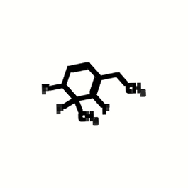 CCC1=C(F)C(C)(F)C(F)C=C1